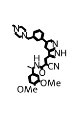 COc1ccc([C@@H](C)NC(=O)/C(C#N)=C/c2c[nH]c3ncc(-c4cccc(CN5CCN(C)CC5)c4)cc23)cc1OC